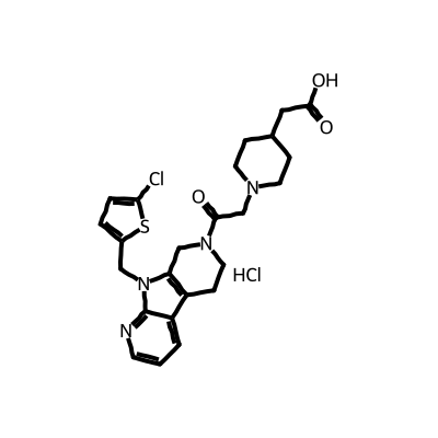 Cl.O=C(O)CC1CCN(CC(=O)N2CCc3c(n(Cc4ccc(Cl)s4)c4ncccc34)C2)CC1